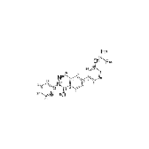 O=c1c2ccc(-c3cccc(OC(F)F)c3)cc2cnn1-c1ccccn1